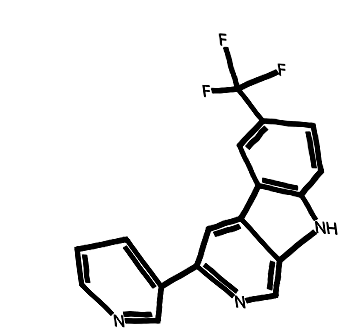 FC(F)(F)c1ccc2[nH]c3cnc(-c4cccnc4)cc3c2c1